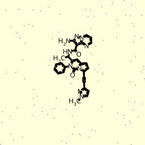 CC(NC(=O)c1c(N)nn2cccnc12)c1cc2ccc(C#Cc3ccn(C)n3)n2c(=O)n1-c1ccccc1